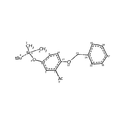 CC(=O)c1cc(O[Si](C)(C)C(C)(C)C)ccc1OCc1ccccc1